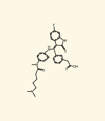 CN(C)CCCCC(=O)N(C)c1ccc(NC(=C2C(=O)Nc3cc(F)ccc32)c2cccc(CC(=O)O)c2)cc1